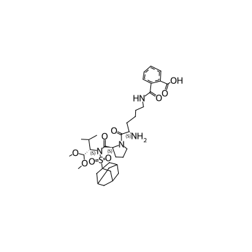 COC(OC)[C@H](C(C)C)N(C(=O)[C@@H]1CCCN1C(=O)[C@@H](N)CCCCNC(=O)c1ccccc1C(=O)O)S(=O)(=O)C12CC3CC(CC(C3)C1)C2